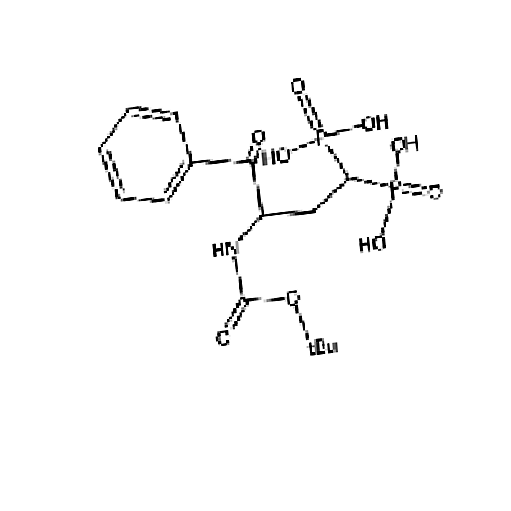 CC(C)(C)OC(=O)NC(CC(P(=O)(O)O)P(=O)(O)O)C(=O)c1ccccc1